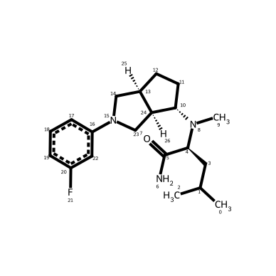 CC(C)C[C@@H](C(N)=O)N(C)[C@H]1CC[C@@H]2CN(c3cccc(F)c3)C[C@@H]21